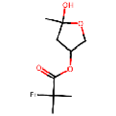 CCC(C)(C)C(=O)OC1COC(C)(O)C1